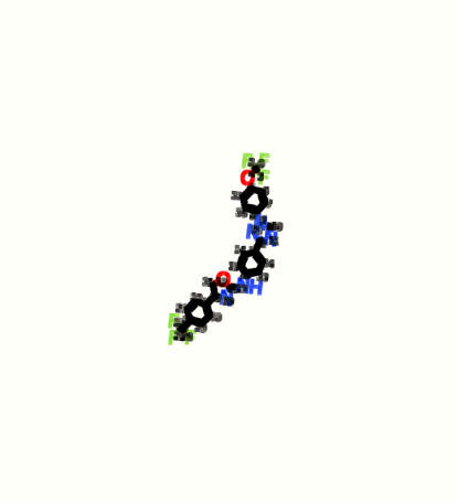 FC(F)(F)Oc1ccc(-n2cnc(-c3ccc(NC4=NC(c5ccc(C(F)(F)F)cc5)CO4)cc3)n2)cc1